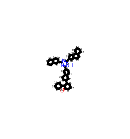 c1ccc2cc(C3=NC(c4ccc5cc(-c6cccc7oc8ccccc8c67)ccc5c4)NC(c4ccc5c(ccc6ccccc65)c4)=N3)ccc2c1